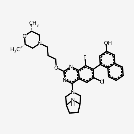 C[C@@H]1CN(CCCOc2nc(N3CC4CCC(C3)N4)c3cc(Cl)c(-c4cc(O)cc5ccccc45)c(F)c3n2)C[C@H](C)O1